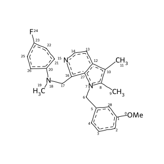 COc1cccc(Cn2c(C)c(C)c3ccnc(CN(C)c4ccc(F)cc4)c32)c1